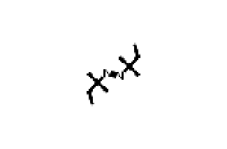 CCC(C)(C)N=NC(C)(C)CC